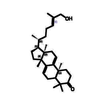 C/C(=C\CC[C@@H](C)[C@@H]1CC[C@@]2(C)C3=CCC4C(C)(C)C(=O)CC[C@]4(C)C3=CC[C@]12C)CO